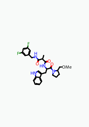 COCC1CCCN1C(=O)C(Cc1c[nH]c2ccccc12)NC(=O)C(C)C(=O)NCc1cc(F)cc(F)c1